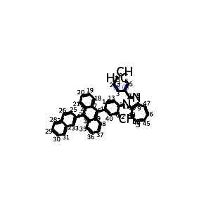 C#C/C=C\C(=C/C)c1nc2c(n1C1C=CC(c3c4ccccc4c(-c4ccc5ccccc5c4)c4ccccc34)=CC1C)CC=CC=C2